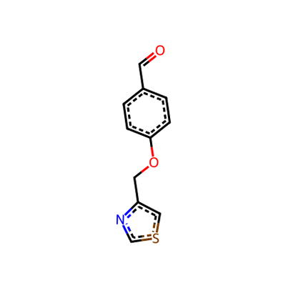 O=Cc1ccc(OCc2cscn2)cc1